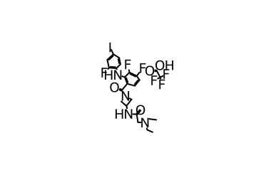 CCN(CC)CC(=O)NC1CN(C(=O)c2ccc(F)c(F)c2Nc2ccc(I)cc2F)C1.O=C(O)C(F)(F)F